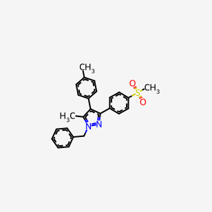 Cc1ccc(-c2c(-c3ccc(S(C)(=O)=O)cc3)nn(Cc3ccccc3)c2C)cc1